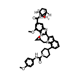 COc1ccc(NC(=O)N2CCC(c3cccc4cc(-c5nc6cc(C(=O)N7C[C@H]8CC[C@@H]7[C@@H]8N)cc(OC)c6n5C)n(CC5CC5)c34)CC2)cc1